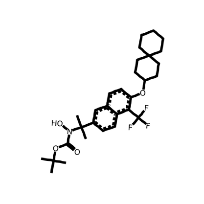 CC(C)(C)OC(=O)N(O)C(C)(C)c1ccc2c(C(F)(F)F)c(OC3CCC4(CCCCC4)CC3)ccc2c1